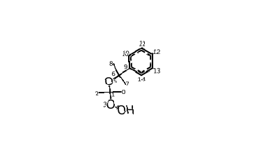 CC(C)(OO)OC(C)(C)c1ccccc1